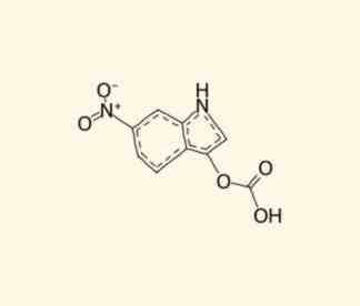 O=C(O)Oc1c[nH]c2cc([N+](=O)[O-])ccc12